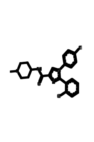 CN1CCC(NC(=O)c2cn(-c3ccc(Cl)cc3)c(-c3ccccc3Cl)n2)CC1